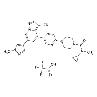 CN(C(=O)N1CCN(c2ccc(-c3cc(-c4cnn(C)c4)cn4ncc(C#N)c34)cn2)CC1)C1CC1.O=C(O)C(F)(F)F